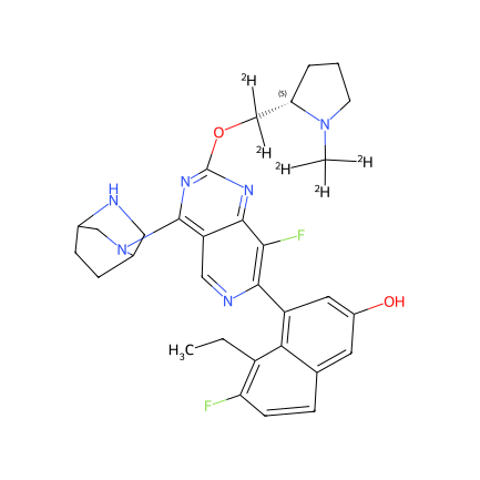 [2H]C([2H])(Oc1nc(N2CC3CCC2CN3)c2cnc(-c3cc(O)cc4ccc(F)c(CC)c34)c(F)c2n1)[C@@H]1CCCN1C([2H])([2H])[2H]